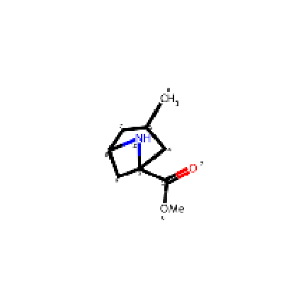 COC(=O)C12CC(C)CC(C1)N2